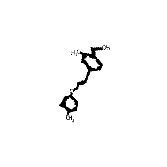 Cc1ccc(OCC=Cc2ccc(CO)c(C)c2)cc1